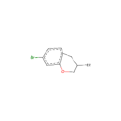 CCC1COc2cc(Br)ccc2C1